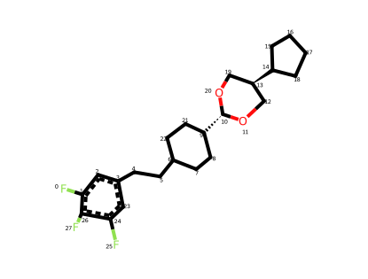 Fc1cc(CCC2CCC([C@H]3OC[C@H](C4CCCC4)CO3)CC2)cc(F)c1F